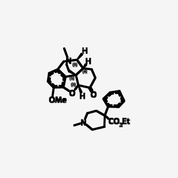 CCOC(=O)C1(c2ccccc2)CCN(C)CC1.COc1ccc2c3c1O[C@H]1C(=O)CC[C@H]4[C@@H](C2)N(C)CC[C@]314